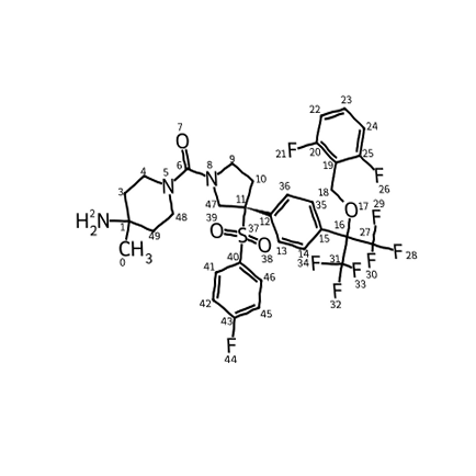 CC1(N)CCN(C(=O)N2CC[C@](c3ccc(C(OCc4c(F)cccc4F)(C(F)(F)F)C(F)(F)F)cc3)(S(=O)(=O)c3ccc(F)cc3)C2)CC1